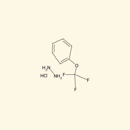 Cl.FC(F)(F)Oc1ccccc1.NN